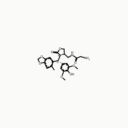 COc1cc([C@H](c2cc3c(cc2C)OCO3)[C@H]2C(=O)OCC2CNC(=O)CN)cc(OC)c1O